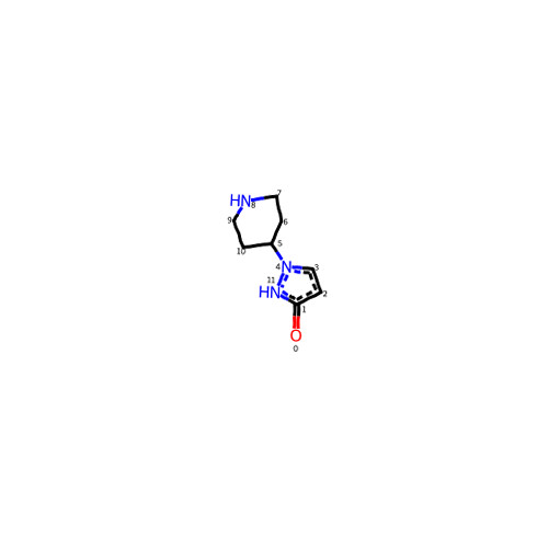 O=c1ccn(C2CCNCC2)[nH]1